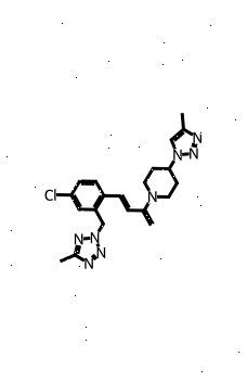 C=C(/C=C/c1ccc(Cl)cc1Cn1nnc(C)n1)N1CCC(n2cc(C)nn2)CC1